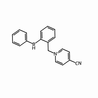 N#Cc1cc[n+](Cc2ccccc2Bc2ccccc2)cc1